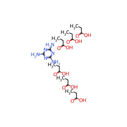 CCC(=O)O.CCC(=O)O.CCC(=O)O.CCC(=O)O.CCC(=O)O.CCC(=O)O.Nc1nc(N)nc(N)n1